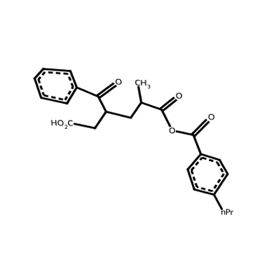 CCCc1ccc(C(=O)OC(=O)C(C)CC(CC(=O)O)C(=O)c2ccccc2)cc1